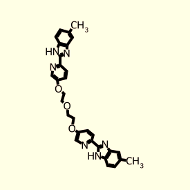 Cc1ccc2[nH]c(-c3ccc(OCCOCCOc4ccc(-c5nc6cc(C)ccc6[nH]5)nc4)cn3)nc2c1